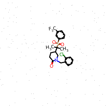 CC(C)(C1CCC(=O)N(Cc2ccccc2Cl)C1)S(=O)(=O)c1cccc(C(F)(F)F)c1